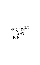 CCn1cc(F)c(C(C)(C)C)n1